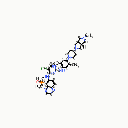 COc1cc(N2CCC(N3CC4CN(C)C[C@@H]4C3)CC2)c(C)cc1Nc1ncc(Cl)c(Nc2ccc3nccnc3c2P(C)(C)=O)n1